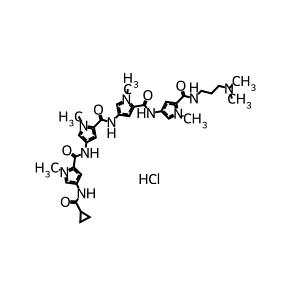 CN(C)CCCNC(=O)c1cc(NC(=O)c2cc(NC(=O)c3cc(NC(=O)c4cc(NC(=O)C5CC5)cn4C)cn3C)cn2C)cn1C.Cl